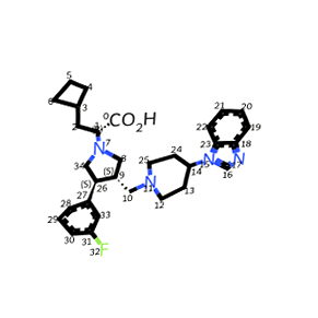 O=C(O)[C@@H](CC1CCC1)N1C[C@H](CN2CCC(n3cnc4ccccc43)CC2)[C@@H](c2cccc(F)c2)C1